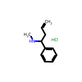 C=CCC(NC)c1ccccc1.Cl